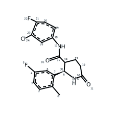 Cc1ccc(F)cc1[C@@H]1NC(=O)CCC1C(=O)Nc1ccc(F)c(Cl)c1